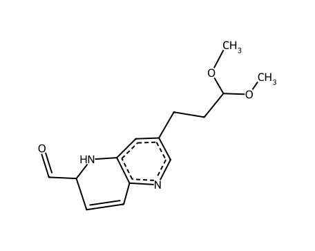 COC(CCc1cnc2c(c1)NC(C=O)C=C2)OC